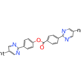 CCCCCc1cnc(-c2ccc(OC(=O)c3ccc(-c4ncc(CCC)cn4)cc3)cc2)nc1